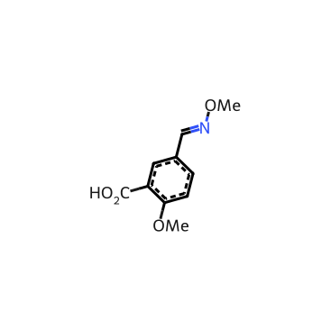 CON=Cc1ccc(OC)c(C(=O)O)c1